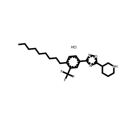 CCCCCCCCCc1ccc(-c2noc(C3CCCNC3)n2)cc1C(F)(F)F.Cl